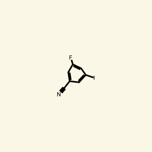 N#Cc1cc(F)cc(I)c1